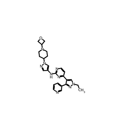 CCn1cc(-c2ccnc(Nc3cnn(C4CCN(C5COC5)CC4)c3)n2)c(-c2cccnc2)n1